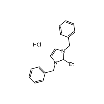 CCC1N(Cc2ccccc2)C=CN1Cc1ccccc1.Cl